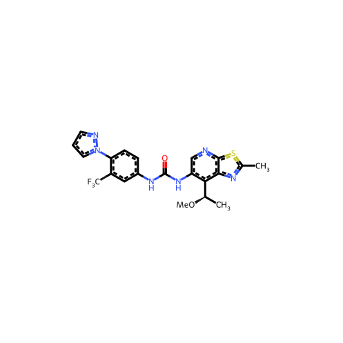 CO[C@H](C)c1c(NC(=O)Nc2ccc(-n3cccn3)c(C(F)(F)F)c2)cnc2sc(C)nc12